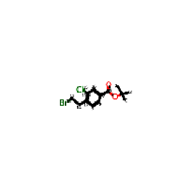 CC(C)(C)OC(=O)c1ccc(CCBr)c(Cl)c1